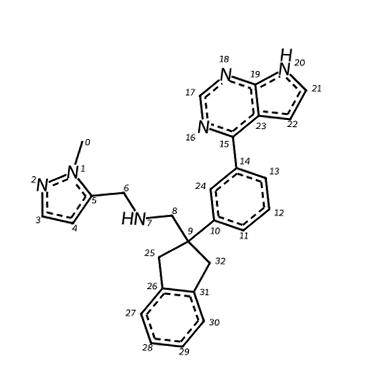 Cn1nccc1CNCC1(c2cccc(-c3ncnc4[nH]ccc34)c2)Cc2ccccc2C1